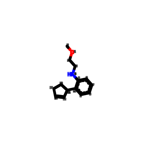 COCCNc1ccccc1C1C=CCC1